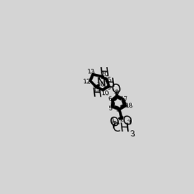 COC(=O)c1ccc(O[C@H]2C[C@H]3CC[C@@H](C2)N3)cc1